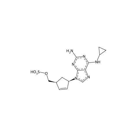 Nc1nc(NC2CC2)c2ncn([C@H]3C=C[C@@H](COS(=O)(=O)O)C3)c2n1